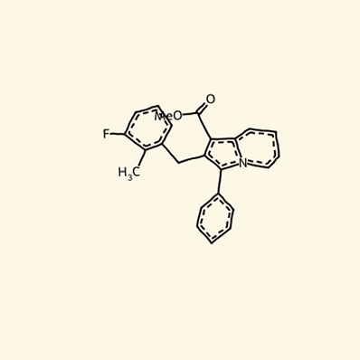 COC(=O)c1c(Cc2cccc(F)c2C)c(-c2ccccc2)n2ccccc12